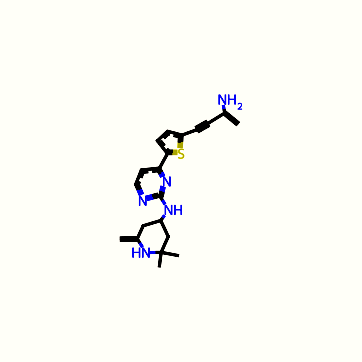 C=C(N)C#Cc1ccc(-c2ccnc(NC3CC(=C)NC(C)(C)C3)n2)s1